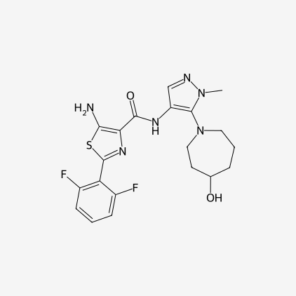 Cn1ncc(NC(=O)c2nc(-c3c(F)cccc3F)sc2N)c1N1CCCC(O)CC1